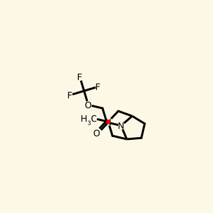 CN1CC2CCC(C1)N2C(=O)COC(F)(F)F